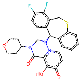 O=C1c2c(O)c(=O)ccn2N([C@@H]2c3ccccc3SCc3c2ccc(F)c3F)CN1C1CCOCC1